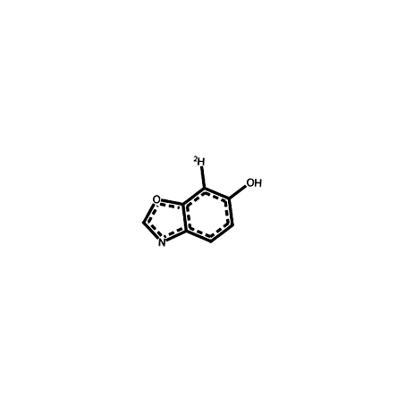 [2H]c1c(O)ccc2ncoc12